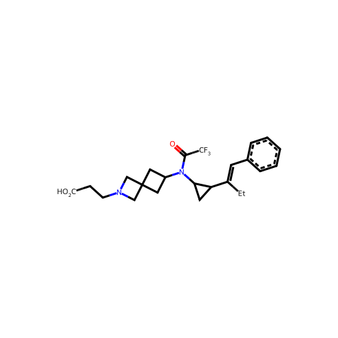 CCC(=Cc1ccccc1)C1CC1N(C(=O)C(F)(F)F)C1CC2(C1)CN(CCC(=O)O)C2